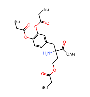 CCC(C)CC(=O)OCC[C@@](N)(Cc1ccc(OC(=O)CC(C)CC)c(OC(=O)CC(C)CC)c1)C(=O)OC